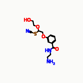 N#CSC(COc1cccc(C(=O)NCCN)c1)OCCO